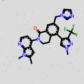 Cc1cc2c(N3CCc4c(cc(Cn5ccnc5)cc4-c4cn(C)nc4C(F)(F)F)C3=O)ccnc2n1C